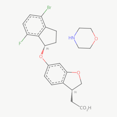 C1COCCN1.O=C(O)C[C@@H]1COc2cc(O[C@@H]3CCc4c(Br)ccc(F)c43)ccc21